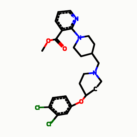 COC(=O)c1cccnc1N1CCC(CN2CCC(Oc3ccc(Cl)c(Cl)c3)CC2)CC1